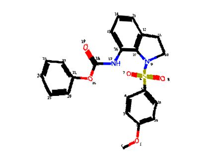 COc1ccc(S(=O)(=O)N2CCc3cccc(NC(=O)Oc4ccccc4)c32)cc1